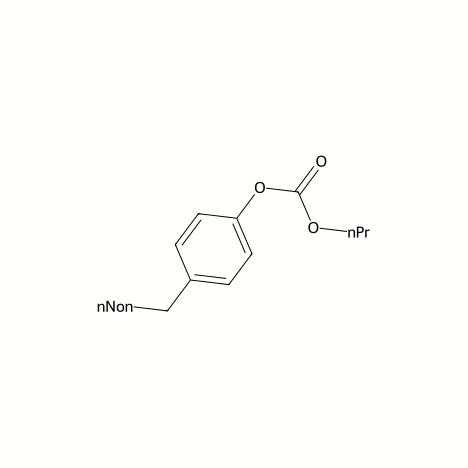 CCCCCCCCCCc1ccc(OC(=O)OCCC)cc1